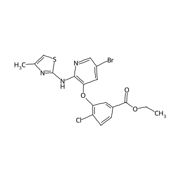 CCOC(=O)c1ccc(Cl)c(Oc2cc(Br)cnc2Nc2nc(C)cs2)c1